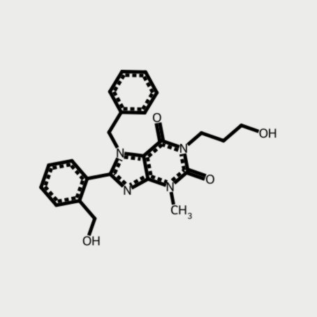 Cn1c(=O)n(CCCO)c(=O)c2c1nc(-c1ccccc1CO)n2Cc1ccccc1